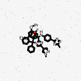 CCOc1cc(OC(C)C)c(F)c(C(Nc2ccc(-c3noc(C)n3)cc2)c2nc(-c3cnn(C)c3)cn2C(c2ccccc2)(c2ccccc2)c2ccccc2)c1